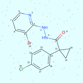 O=C(NNc1ncccc1Br)C1(c2ccc(Cl)cc2)CC1